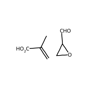 C=C(C)C(=O)O.O=CC1CO1